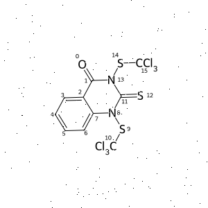 O=c1c2ccccc2n(SC(Cl)(Cl)Cl)c(=S)n1SC(Cl)(Cl)Cl